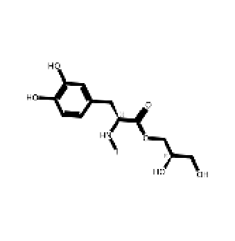 O=C(OC[C@H](O)CO)[C@H](Cc1ccc(O)c(O)c1)NI